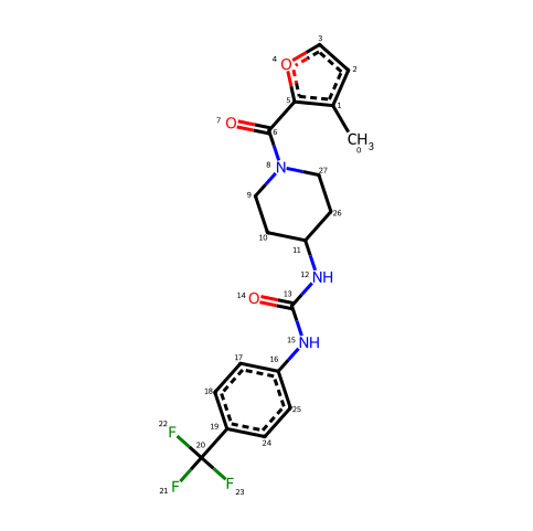 Cc1ccoc1C(=O)N1CCC(NC(=O)Nc2ccc(C(F)(F)F)cc2)CC1